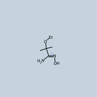 CCOC(C)(C)/C(N)=N/O